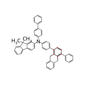 CC1(C)c2ccccc2-c2ccc(N(c3ccc(-c4ccccc4)cc3)c3ccc(-c4ccc(-c5ccccc5)c5c4C4c6ccccc6C5c5ccccc54)cc3)cc21